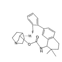 CC1(C)CCc2ccc(-c3ccccc3F)cc2C1NC(=O)O[C@H]1CN2CCC1CC2